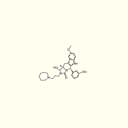 COc1ccc2[nH]c3c(c2c1)C[C@@]1(C)C(O)N(CCCN2CCCCCC2)C(=O)N1[C@@H]3c1cccc(O)c1